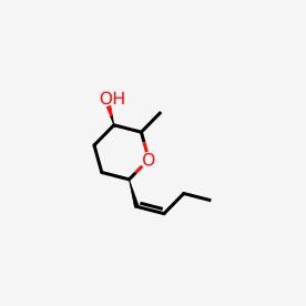 CC/C=C\[C@H]1CC[C@@H](O)C(C)O1